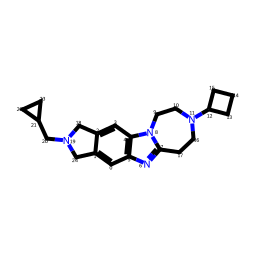 c1c2c(cc3c1nc1n3CCN(C3CCC3)CC1)CN(CC1CC1)C2